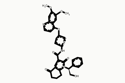 COc1cc2nccc(Oc3ccc(NC(=O)c4cc5c(n([C@H](CO)c6ccccc6)c4=O)CCCC5=O)nc3)c2cc1OC